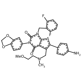 COCCN(C)Cc1c(-c2ccc(N)cc2)sc2c1c(=O)n(-c1ccc3c(c1)OCO3)c(=O)n2Cc1c(F)cccc1F